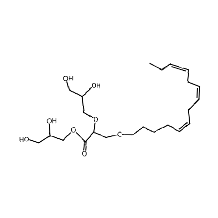 CC/C=C\C/C=C\C/C=C\CCCCCCC(OCC(O)CO)C(=O)OCC(O)CO